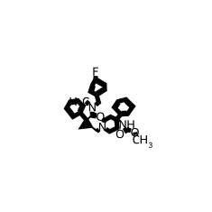 COC(=O)NC1(c2ccccc2)CCN(C[C@H]2C[C@]2(C(=O)N(C)Cc2ccc(F)cc2)c2ccccc2)CC1